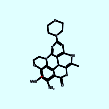 COCCOC(=O)OC1=C(C)Nc2nc(N3CCOCC3)nc(N3CCOCC3)c2C1c1cccc([N+](=O)[O-])c1